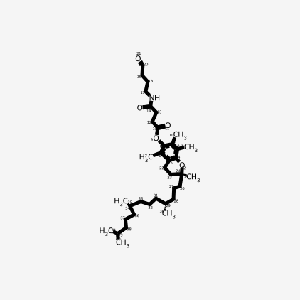 Cc1c(C)c2c(c(C)c1OC(=O)CCC(=O)NCCC[C]=O)CC[C@@](C)(CCC[C@H](C)CCC[C@H](C)CCCC(C)C)O2